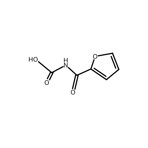 O=C(O)NC(=O)c1ccco1